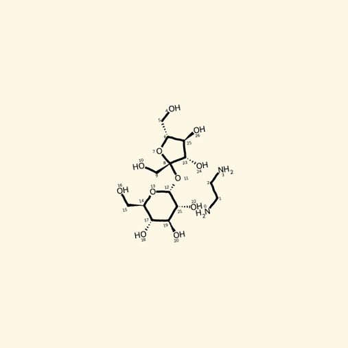 NCCN.OC[C@H]1O[C@@](CO)(O[C@H]2O[C@H](CO)[C@@H](O)[C@H](O)[C@H]2O)[C@@H](O)[C@@H]1O